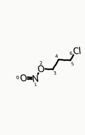 O=NOCCCCl